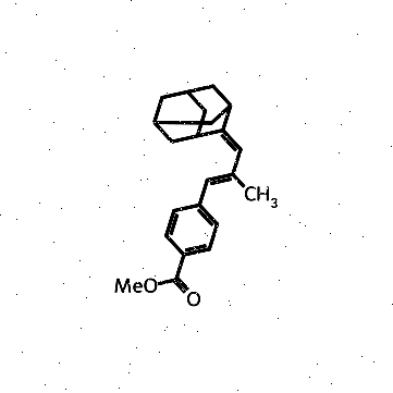 COC(=O)c1ccc(C=C(C)C=C2C3CC4CC(C3)CC2C4)cc1